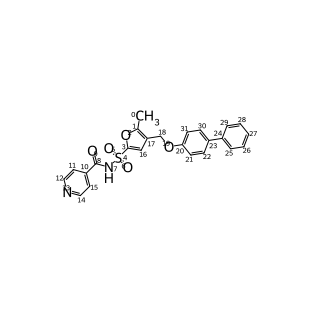 Cc1oc(S(=O)(=O)NC(=O)c2ccncc2)cc1COc1ccc(-c2ccccc2)cc1